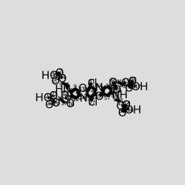 O=S(=O)(O)OCCNc1cc2c(cc1S(=O)(=O)CCOS(=O)(=O)O)N=c1c(Cl)c3c(c(Cl)c1O2)=Nc1cc(S(=O)(=O)CCOS(=O)(=O)O)c(NCCOS(=O)(=O)O)cc1O3